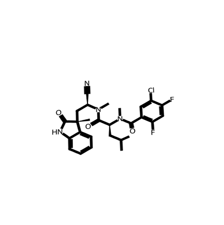 CC(C)C[C@@H](C(=O)N(C)[C@H](C#N)C[C@@]1(C)C(=O)Nc2ccccc21)N(C)C(=O)c1cc(Cl)c(F)cc1F